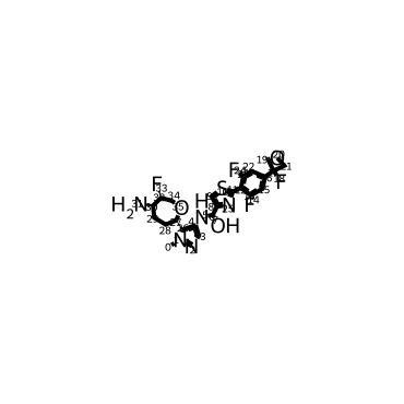 Cn1ncc(NC(O)c2csc(-c3c(F)cc(C4(F)COC4)cc3F)n2)c1[C@@H]1CC[C@@H](N)[C@H](F)CO1